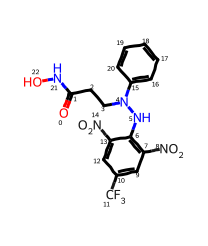 O=C(CCN(Nc1c([N+](=O)[O-])cc(C(F)(F)F)cc1[N+](=O)[O-])c1ccccc1)NO